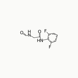 O=CNCC(=O)Nc1c(F)cccc1F